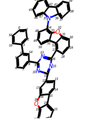 c1ccc(-c2cccc(-c3nc(-c4ccc5c(c4)oc4ccccc45)nc(-c4cccc5oc6c(-n7c8ccccc8c8ccccc87)cccc6c45)n3)c2)cc1